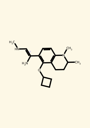 CN/C=C(\N)c1ccc2c(c1OC1CCC1)CCC(C)N2C